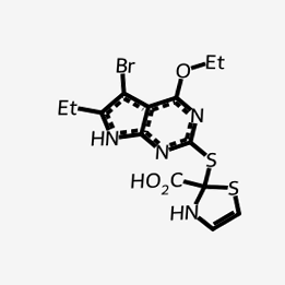 CCOc1nc(SC2(C(=O)O)NC=CS2)nc2[nH]c(CC)c(Br)c12